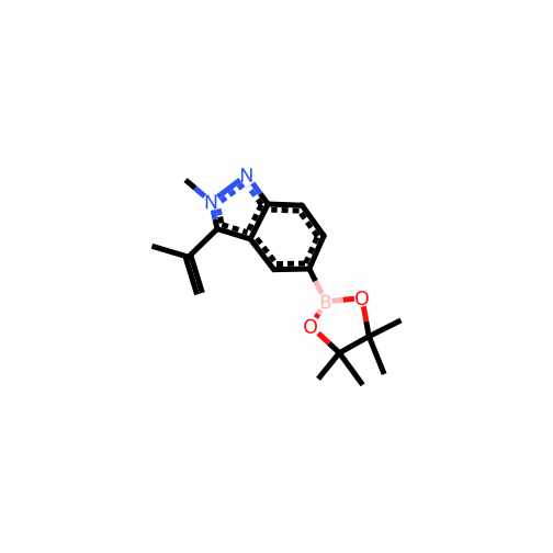 C=C(C)c1c2cc(B3OC(C)(C)C(C)(C)O3)ccc2nn1C